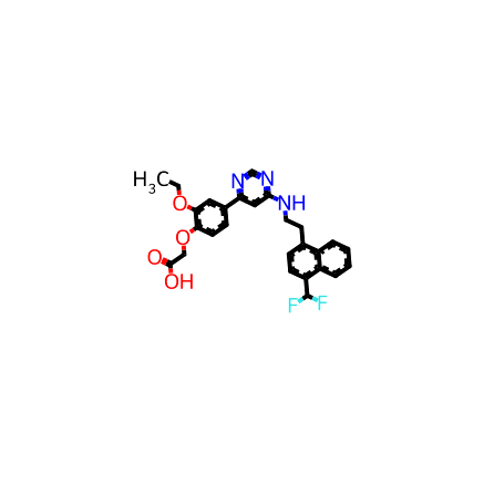 CCOc1cc(-c2cc(NCCc3ccc(C(F)F)c4ccccc34)ncn2)ccc1OCC(=O)O